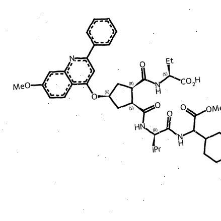 CC[C@H](NC(=O)[C@@H]1C[C@H](Oc2cc(-c3ccccc3)nc3cc(OC)ccc23)C[C@@H]1C(=O)N[C@@H](C(=O)NC(C(=O)OC)C1CCCCC1)C(C)C)C(=O)O